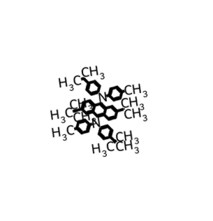 Cc1ccc(N(c2ccc(C(C)C)cc2)c2c3ccc(C(C)(C)C)cc3c(N(c3ccc(C)cc3)c3ccc(C(C)(C)C)cc3)c3ccc(C(C)C)cc23)cc1